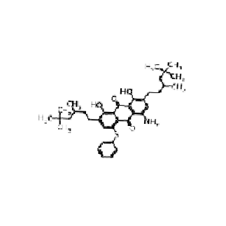 CC(CCc1cc(N)c2c(c1O)C(=O)c1c(O)c(CCC(C)CC(C)(C)C)cc(Sc3ccccc3)c1C2=O)CC(C)(C)C